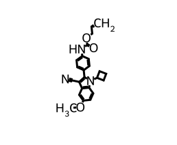 C=CCOC(=O)Nc1ccc(-c2c(C#N)c3cc(OC)ccc3n2C2CCC2)cc1